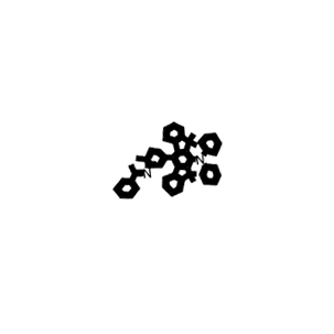 C/C(=N\c1cc(-c2c3c(c(N(c4ccccc4)c4ccccc4)c4c2-c2ccccc2C4(C)C)C(C)(C)c2ccccc2-3)ccc1C)c1ccccc1